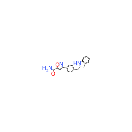 NC(=O)c1cc(-c2ccc(CC3Cc4ccccc4N3)cc2)no1